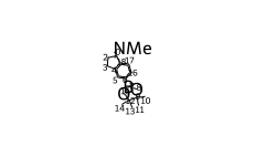 CNC1CCc2cc(B3OC(C)(C)C(C)(C)O3)ccc21